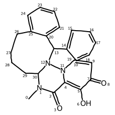 CN1C(=O)c2c(O)c(=O)ccn2N2C(c3ccccc3)c3ccccc3CCCCC12